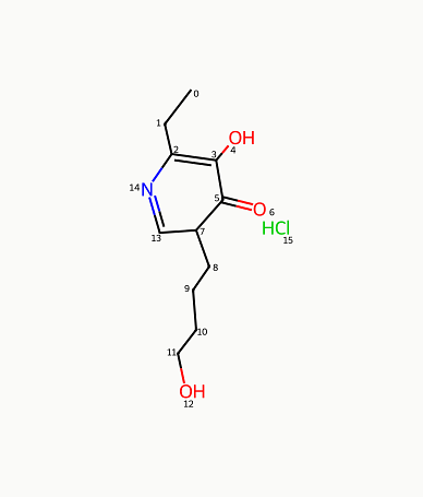 CCC1=C(O)C(=O)C(CCCCO)C=N1.Cl